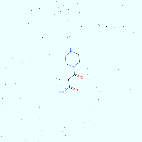 NC(=O)CC(=O)N1CCNCC1